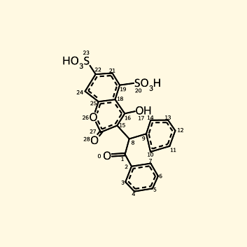 O=C(c1ccccc1)C(c1ccccc1)c1c(O)c2c(S(=O)(=O)O)cc(S(=O)(=O)O)cc2oc1=O